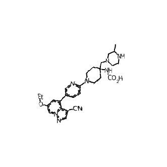 CCOc1cc(-c2ccc(N3CCC(CN4CCNC(C)C4)(NC(=O)O)CC3)nc2)c2c(C#N)cnn2c1